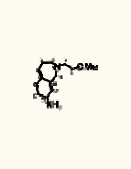 COCCN1CCC=C2C=CC(N)C=C2C1